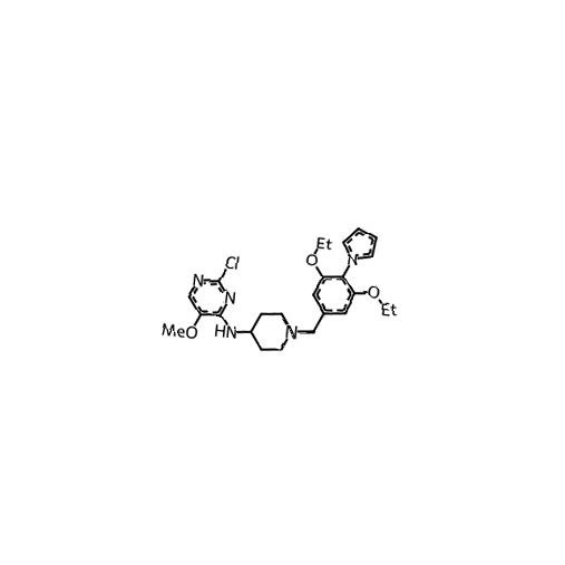 CCOc1cc(CN2CCC(Nc3nc(Cl)ncc3OC)CC2)cc(OCC)c1-n1cccc1